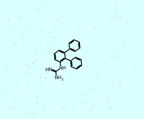 N=C(N)Nc1cccc(-c2ccccc2)c1-c1ccccc1